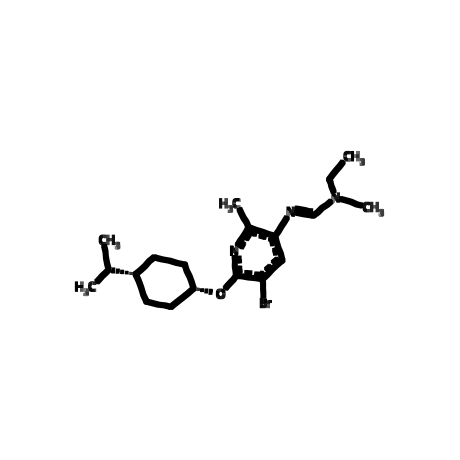 CCN(C)/C=N/c1cc(Br)c(O[C@H]2CC[C@@H](C(C)C)CC2)nc1C